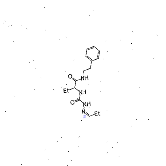 CC/C=N\NC(=O)NC(CC)C(=O)NCCc1ccccc1